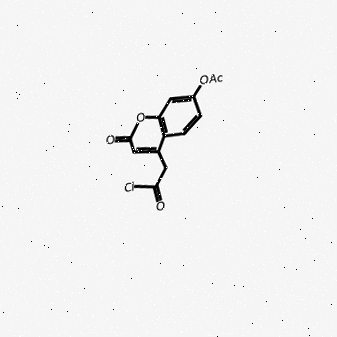 CC(=O)Oc1ccc2c(CC(=O)Cl)cc(=O)oc2c1